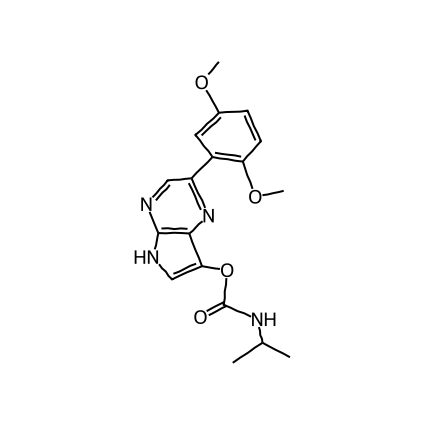 COc1ccc(OC)c(-c2cnc3[nH]cc(OC(=O)NC(C)C)c3n2)c1